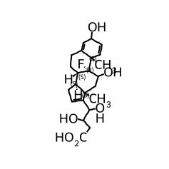 C[C@]12C=CC(O)C=C1CC[C@H]1[C@@H]3CC=C(C(O)C(O)CC(=O)O)[C@@]3(C)CC(O)[C@@]12F